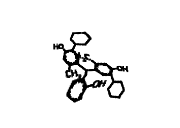 Cc1cc(O)c(C2CCCCC2)cc1C(c1cc(C2CCCCC2)c(O)cc1C)c1ccccc1O